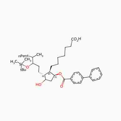 CCCCCC(C)C(CC[C@H]1C(O)C[C@H](OC(=O)c2ccc(-c3ccccc3)cc2)[C@@H]1CCCCCCC(=O)O)O[Si](C)(C)C(C)(C)C